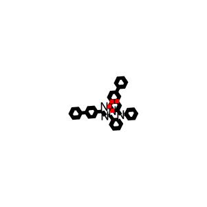 c1ccc(-c2ccc(-c3nc(-c4ccc(-c5ccccc5)cc4)nc(-c4ccccc4N(c4ccccc4)c4ccccc4)n3)cc2)cc1